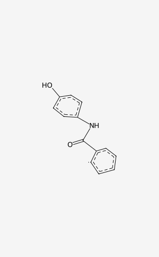 O=C(Nc1ccc(O)cc1)c1[c]cccc1